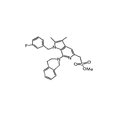 COS(=O)(=O)Cc1cc2c(C)c(C)n(Cc3cccc(F)c3)c2c(N2CCc3ccccc3C2)n1